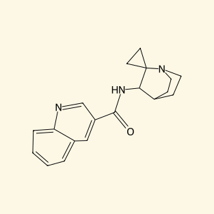 O=C(NC1C2CCN(CC2)C12CC2)c1cnc2ccccc2c1